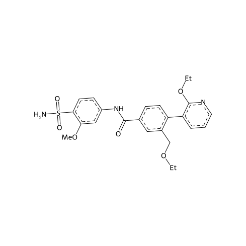 CCOCc1cc(C(=O)Nc2ccc(S(N)(=O)=O)c(OC)c2)ccc1-c1cccnc1OCC